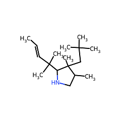 CC=CC(C)(C)C1NCC(C)C1(C)CC(C)(C)C